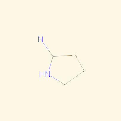 [N]C1NCCS1